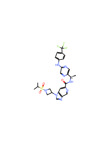 CC(C)S(=O)(=O)N1CC(n2cnc3cnc(C(=O)N[C@H](C)c4cnc(Nc5ccc(C(F)(F)F)cc5)cn4)cc32)C1